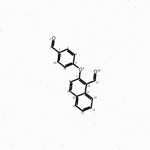 O=Cc1ccc(Oc2ccc3ccccc3c2C=O)cc1